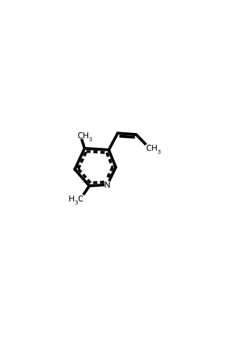 C/C=C\c1cnc(C)cc1C